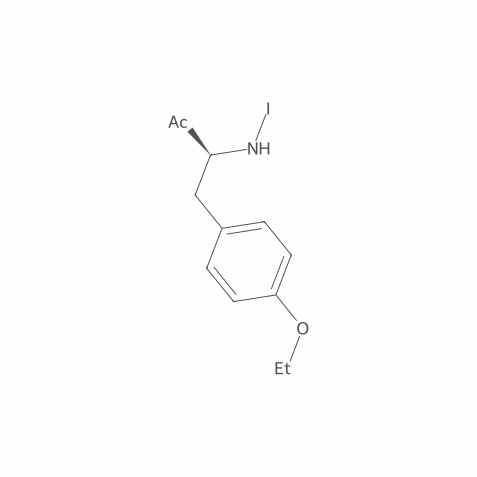 CCOc1ccc(C[C@H](NI)C(C)=O)cc1